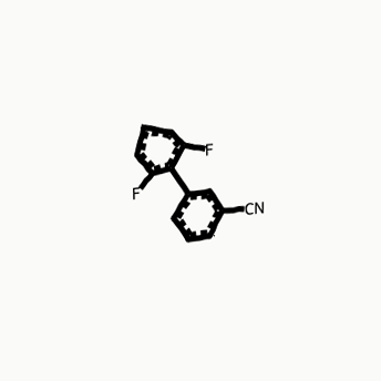 N#Cc1[c]ccc(-c2c(F)cccc2F)c1